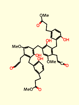 COC(=O)CCc1ccc(O)c(Cc2c(O)c(Cc3cc(OC)c(CC=C=O)c(Cc4cc(CCC(=O)OC)ccc4O)c3O)cc(OC)c2CC=C=O)c1